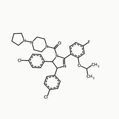 CC(C)Oc1cc(F)ccc1C1=NC(c2ccc(Cl)cc2)C(c2ccc(Cl)cc2)N1C(=O)N1CCN(N2CCCC2)CC1